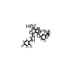 Cc1ccc(CCNC(=O)c2c(C(C)(C)O)nn(C)c2Oc2cccc(C(F)(F)F)c2)c(C)c1